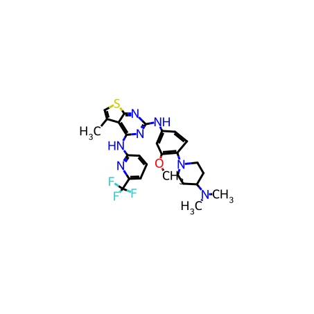 COc1cc(Nc2nc(Nc3cccc(C(F)(F)F)n3)c3c(C)csc3n2)ccc1N1CCC(N(C)C)CC1